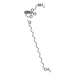 CCCCCCCCCCCCCCCCCCOC[C@H](CO)OP(=O)(O)OCCN